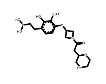 O=C(O)c1c(OC2CN(C(=O)CC3CNCCO3)C2)ccc(CCB(O)O)c1O